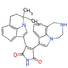 CC1(C)CCc2cccc3c(C4=C(c5cn6c7c(cccc57)CNCC6)C(=O)NC4=O)cn1c23